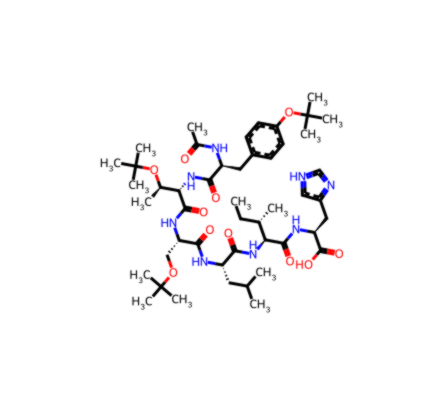 CC[C@H](C)[C@H](NC(=O)[C@H](CC(C)C)NC(=O)[C@H](COC(C)(C)C)NC(=O)[C@@H](NC(=O)[C@H](Cc1ccc(OC(C)(C)C)cc1)NC(C)=O)[C@@H](C)OC(C)(C)C)C(=O)N[C@@H](Cc1c[nH]cn1)C(=O)O